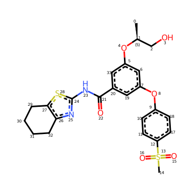 C[C@@H](CO)Oc1cc(Oc2ccc(S(C)(=O)=O)cc2)cc(C(=O)Nc2nc3c(s2)CCCC3)c1